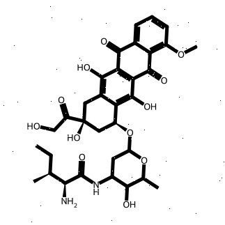 CC[C@H](C)[C@H](N)C(=O)NC1CC(O[C@H]2C[C@](O)(C(=O)CO)Cc3c(O)c4c(c(O)c32)C(=O)c2c(OC)cccc2C4=O)OC(C)C1O